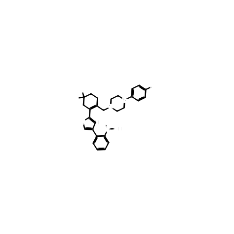 CN(C)c1ccccc1-c1csc(C2=C(CN3CCN(c4ccc(C(=O)O)cc4)CC3)CCC(C)(C)C2)c1